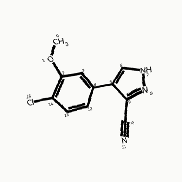 COc1cc(-c2c[nH]nc2C#N)ccc1Cl